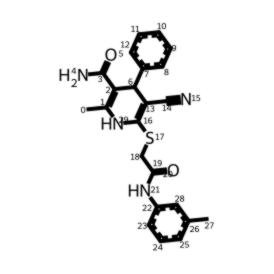 CC1=C(C(N)=O)C(c2ccccc2)C(C#N)=C(SCC(=O)Nc2cccc(C)c2)N1